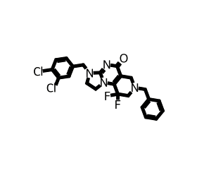 O=c1nc2n(c3c1CN(Cc1ccccc1)CC3(F)F)CCN2Cc1ccc(Cl)c(Cl)c1